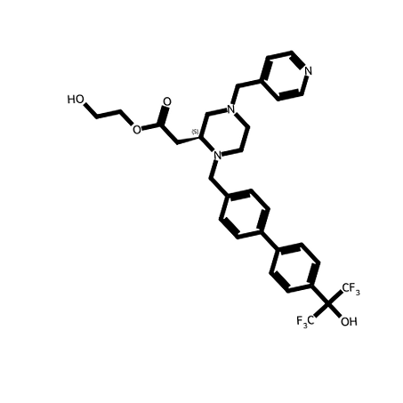 O=C(C[C@H]1CN(Cc2ccncc2)CCN1Cc1ccc(-c2ccc(C(O)(C(F)(F)F)C(F)(F)F)cc2)cc1)OCCO